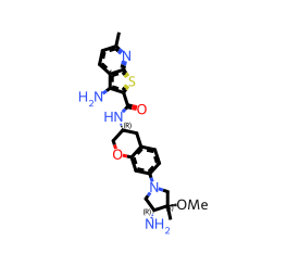 CO[C@]1(C)CN(c2ccc3c(c2)OC[C@H](NC(=O)c2sc4nc(C)ccc4c2N)C3)C[C@H]1N